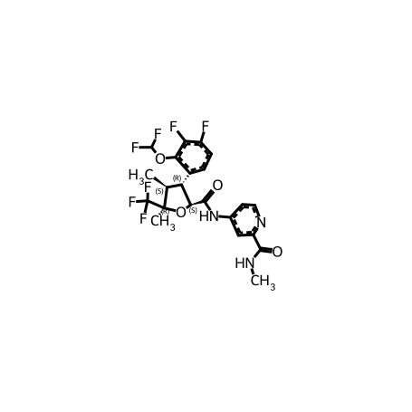 CNC(=O)c1cc(NC(=O)[C@H]2O[C@@](C)(C(F)(F)F)[C@@H](C)[C@@H]2c2ccc(F)c(F)c2OC(F)F)ccn1